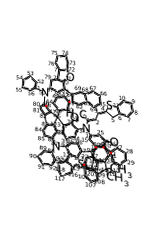 C/C(=C\C=C1/Cc2ccccc2S1)N(c1cc(-c2ccccc2)c2c(c1)oc1ccccc12)c1cccc2c1Oc1ccccc1C21c2cc(N(c3ccccc3)c3cc(-c4ccc5ccccc5c4)c4oc5ccccc5c4c3)ccc2-c2ccc(N(c3ccccc3)c3ccc(-c4cccc5c4-c4ccccc4C5(C)C)c4sc5ccccc5c34)cc21